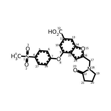 CS(=O)(=O)c1ccc(Oc2cc(C(=O)O)cc3oc(CN4CCCC4=O)cc23)cc1